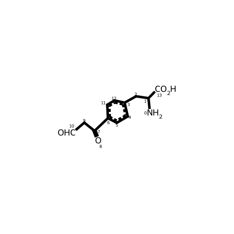 NC(Cc1ccc(C(=O)CC=O)cc1)C(=O)O